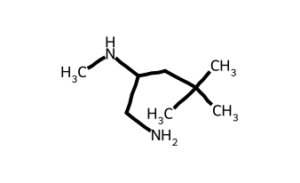 CNC(CN)CC(C)(C)C